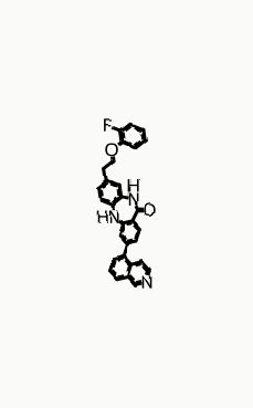 O=C1Nc2cc(CCOc3ccccc3F)ccc2Nc2cc(-c3cccc4cnccc34)ccc21